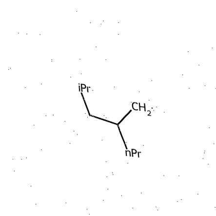 [CH2]CCC([CH2])CC(C)C